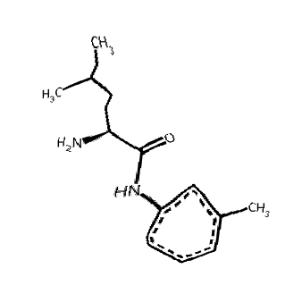 Cc1cccc(NC(=O)[C@@H](N)CC(C)C)c1